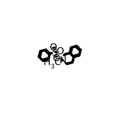 CN1CCc2ccccc2C1OS(=O)(=O)c1ccccc1